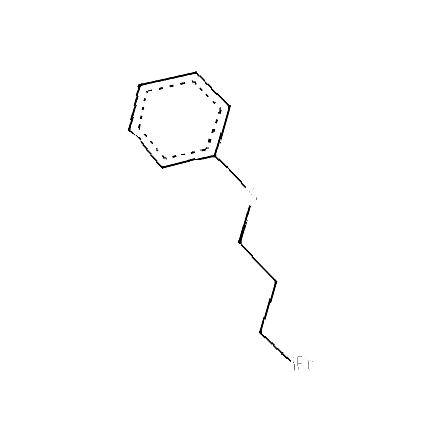 CC(C)CCCSc1ccccc1